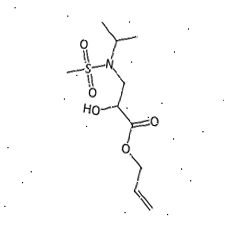 C=CCOC(=O)C(O)CN(C(C)C)S(C)(=O)=O